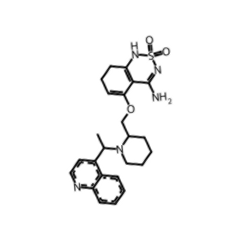 CC(c1ccnc2ccccc12)N1CCCCC1COC1=CCCC2=C1C(N)=NS(=O)(=O)N2